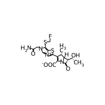 C[C@@H](O)[C@H]1C(=O)N2C(C(=O)[O-])=C(c3c[n+]4cn(CC(N)=O)c(SCF)c4s3)[C@H](C)[C@H]12